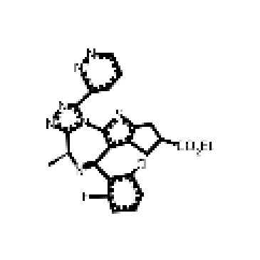 CCOC(=O)C1Cc2sc3c(c2C1)C(c1c(F)cccc1Cl)=N[C@@H](C)c1nnc(-c2cccnn2)n1-3